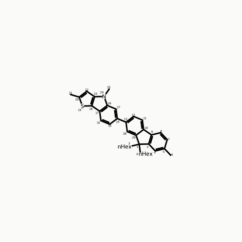 CCCCCCC1(CCCCCC)c2cc(C)ccc2-c2ccc(-c3ccc4c5sc(C)cc5n(C)c4c3)cc21